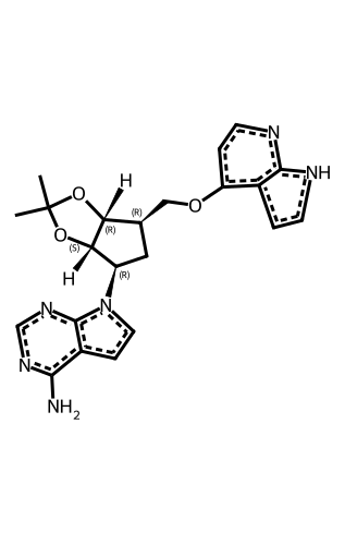 CC1(C)O[C@@H]2[C@@H](COc3ccnc4[nH]ccc34)C[C@@H](n3ccc4c(N)ncnc43)[C@@H]2O1